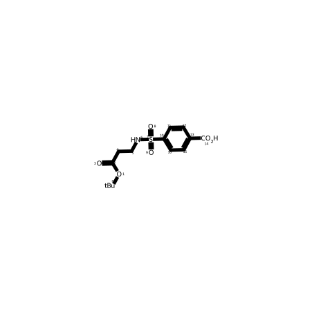 CC(C)(C)OC(=O)CCNS(=O)(=O)c1ccc(C(=O)O)cc1